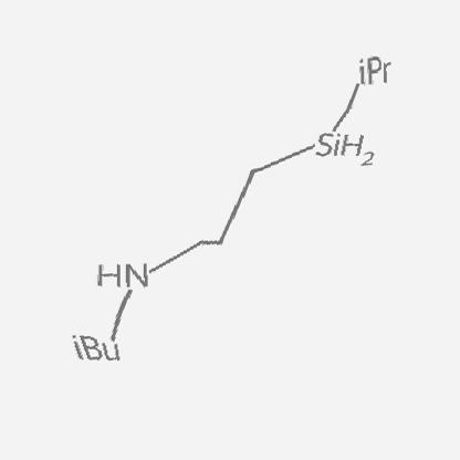 CCC(C)NCC[SiH2]C(C)C